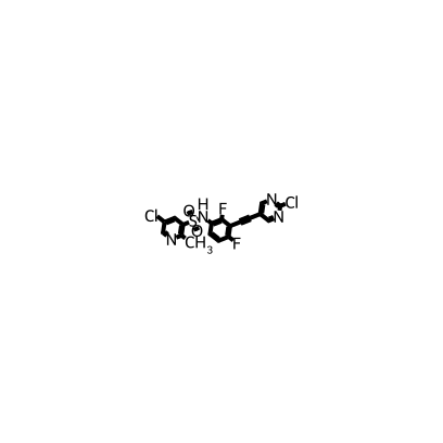 Cc1ncc(Cl)cc1S(=O)(=O)Nc1ccc(F)c(C#Cc2cnc(Cl)nc2)c1F